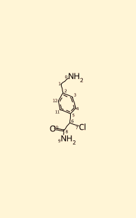 NCc1ccc(C(Cl)C(N)=O)cc1